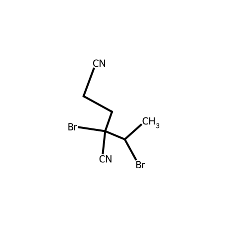 CC(Br)C(Br)(C#N)CCC#N